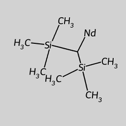 C[Si](C)(C)[CH]([Nd])[Si](C)(C)C